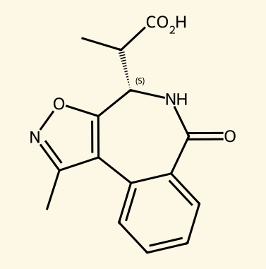 Cc1noc2c1-c1ccccc1C(=O)N[C@H]2C(C)C(=O)O